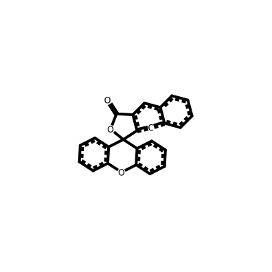 O=C1OC2(c3ccccc3Oc3ccccc32)c2cc3ccccc3cc21